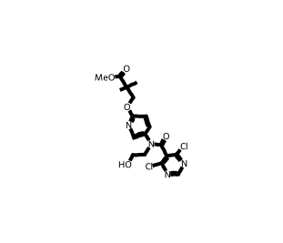 COC(=O)C(C)(C)COc1ccc(N(CCO)C(=O)c2c(Cl)ncnc2Cl)cn1